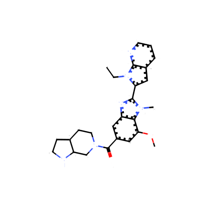 CCn1c(-c2nc3cc(C(=O)N4CCC5CCNC5C4)cc(OC)c3n2C)cc2cccnc21